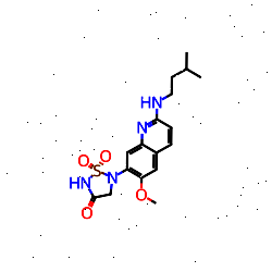 COc1cc2ccc(NCCC(C)C)nc2cc1N1CC(=O)NS1(=O)=O